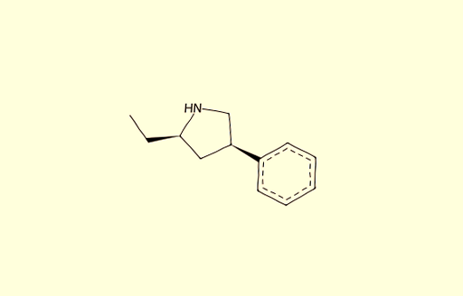 CC[C@@H]1C[C@H](c2ccccc2)CN1